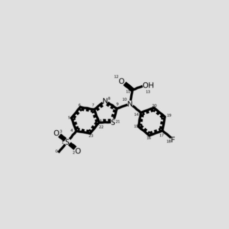 CS(=O)(=O)c1ccc2nc(N(C(=O)O)c3ccc(F)cc3)sc2c1